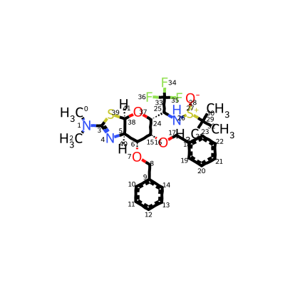 CN(C)C1=N[C@@H]2[C@@H](OCc3ccccc3)[C@@H](OCc3ccccc3)[C@@H](C(N[S+]([O-])C(C)(C)C)C(F)(F)F)O[C@@H]2S1